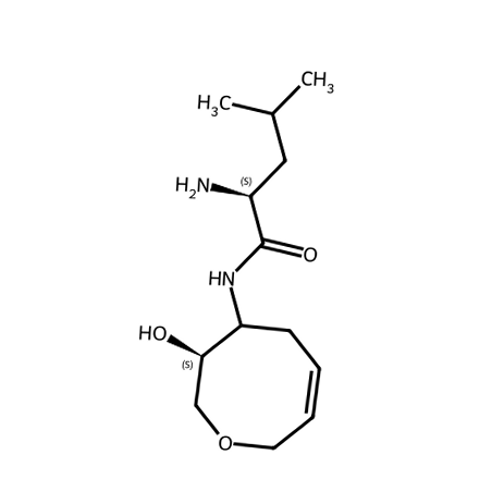 CC(C)C[C@H](N)C(=O)NC1CC=CCOC[C@H]1O